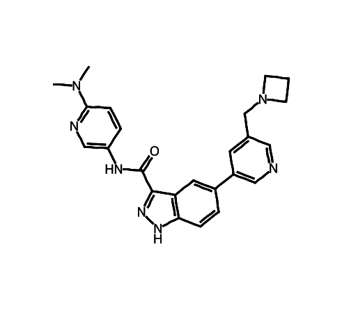 CN(C)c1ccc(NC(=O)c2n[nH]c3ccc(-c4cncc(CN5CCC5)c4)cc23)cn1